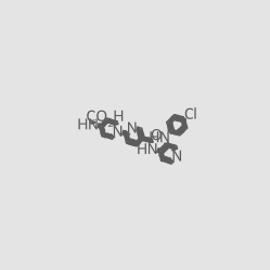 O=C(O)NC1CCN(c2ccc(C(=O)Nc3ccncc3Nc3ccc(Cl)cc3)cn2)CC1